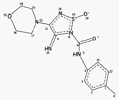 Cc1ccc(NC(=O)n2c(=N)c(N3CCOCC3)n[s+]2[O-])cc1